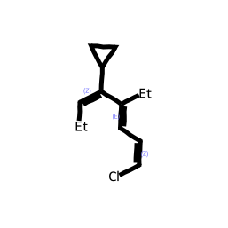 CC\C=C(/C(=C/C=C\Cl)CC)C1CC1